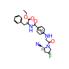 CCOC(=O)[C@H](Cc1ccccc1)NC(=O)C12CCC(NCC(=O)N3C[C@@H](F)C[C@H]3C#N)(CC1)CC2